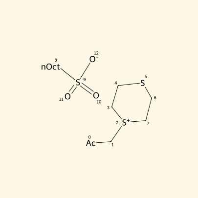 CC(=O)C[S+]1CCSCC1.CCCCCCCCS(=O)(=O)[O-]